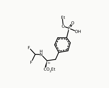 CCOC(=O)[C@H](Cc1ccc(P(=O)(O)OCC)cc1)NC(F)F